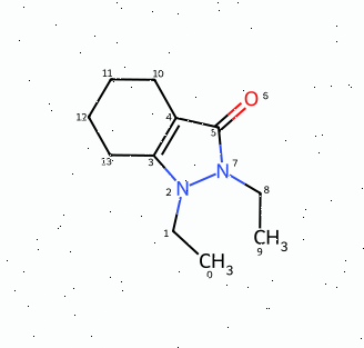 CCn1c2c(c(=O)n1CC)CCCC2